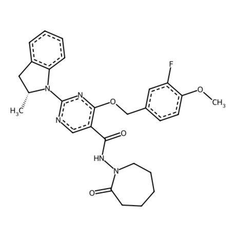 COc1ccc(COc2nc(N3c4ccccc4C[C@H]3C)ncc2C(=O)NN2CCCCCC2=O)cc1F